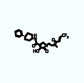 CN(CCN1CC(C(=O)N[C@H]2CC[C@@H](c3ccccc3)CC2)=C(O)C1=O)C(=O)C=CC(F)(F)F